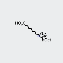 CCCCCCCCC(/C=C/CCCCCCCC(=O)O)S(C)(=O)=O